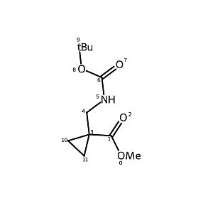 COC(=O)C1(CNC(=O)OC(C)(C)C)CC1